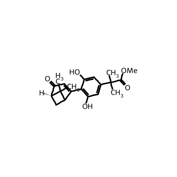 COC(=O)C(C)(C)c1cc(O)c(C2=CC(=O)[C@@H]3CC2C3(C)C)c(O)c1